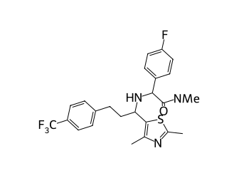 CNC(=O)C(NC(CCc1ccc(C(F)(F)F)cc1)c1sc(C)nc1C)c1ccc(F)cc1